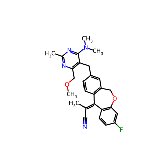 COCc1nc(C)nc(N(C)C)c1Cc1ccc2c(c1)COc1cc(F)ccc1C2=C(C)C#N